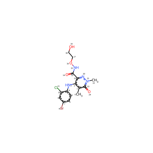 Cc1c(Nc2ccc(Br)cc2Cl)c(C(=O)NOCCO)nn(C)c1=O